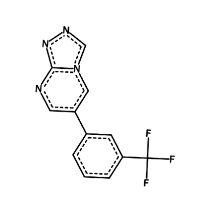 FC(F)(F)c1cccc(-c2cnc3nncn3c2)c1